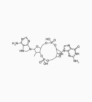 CC1C2OP(=O)(O)OCC3OC(n4cnc5c(=O)[nH]c(N)nc54)C(OP(=O)(O)OCC2OC1N1CNc2c(N)ncnc21)C3O